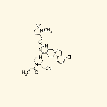 C=CC(=O)N1CCN(c2nc(OCC3CCC4(CC4)N3C)nc3c2CC[C@@]2(CCC4C(Cl)=CC=CC42)C3)C[C@@H]1CC#N